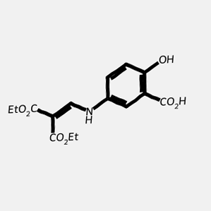 CCOC(=O)C(=CNc1ccc(O)c(C(=O)O)c1)C(=O)OCC